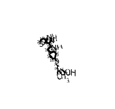 CN(CCO)CCCOc1ccc2cc(-c3n[nH]c4ccsc34)[nH]c2c1